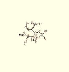 CCC(I)(CC)O[C@H](c1ccccc1I)[C@H](O)C(=O)OC